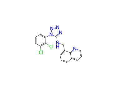 Clc1cccc(-n2nnnc2NCc2cccc3cccnc23)c1Cl